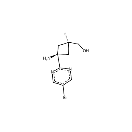 C[C@]1(CO)C[C@](N)(c2ncc(Br)cn2)C1